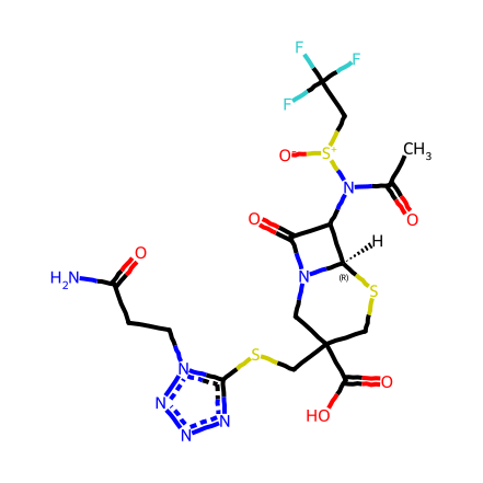 CC(=O)N(C1C(=O)N2CC(CSc3nnnn3CCC(N)=O)(C(=O)O)CS[C@H]12)[S+]([O-])CC(F)(F)F